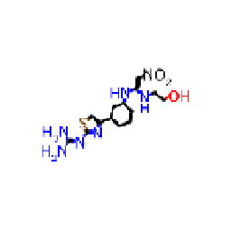 NC(N)=Nc1nc(C2CCCC(N/C(=C/[N+](=O)[O-])NCCO)C2)cs1